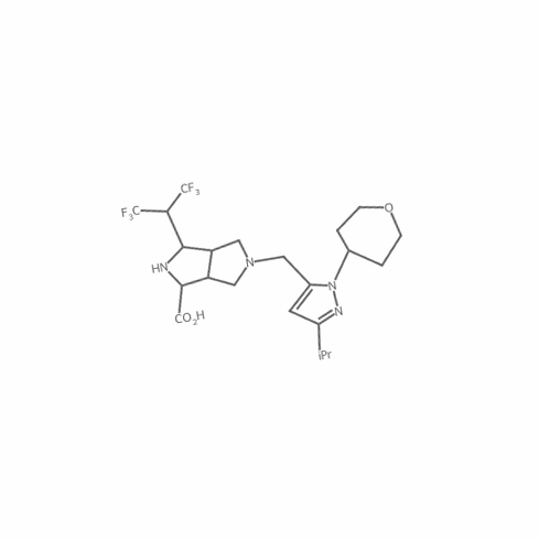 CC(C)c1cc(CN2CC3C(C(=O)O)NC(C(C(F)(F)F)C(F)(F)F)C3C2)n(C2CCOCC2)n1